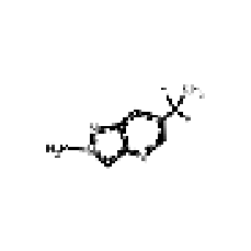 FC(F)(F)C(F)(F)c1cnc2cn(P)nc2c1